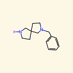 IN1CCC2(CCN(Cc3ccccc3)C2)C1